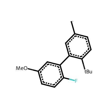 [CH2]c1ccc(C(C)(C)C)c(-c2cc(OC)ccc2F)c1